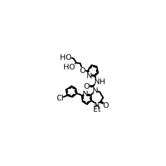 CCN1C(=O)CCN(C(=O)Nc2cccc(OC[C@@H](O)CO)n2)c2nc(-c3cccc(Cl)c3)ccc21